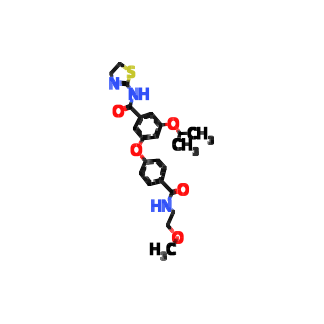 COCCNC(=O)c1ccc(Oc2cc(OC(C)C)cc(C(=O)NC3=NCCS3)c2)cc1